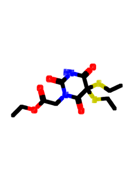 CCOC(=O)CN1C(=O)NC(=O)C(SCC)(SCC)C1=O